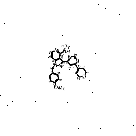 COc1ccc(Cn2nc(-c3cc(C4=CCOCC4)ncn3)c3c(NC(C)C)nccc32)cc1